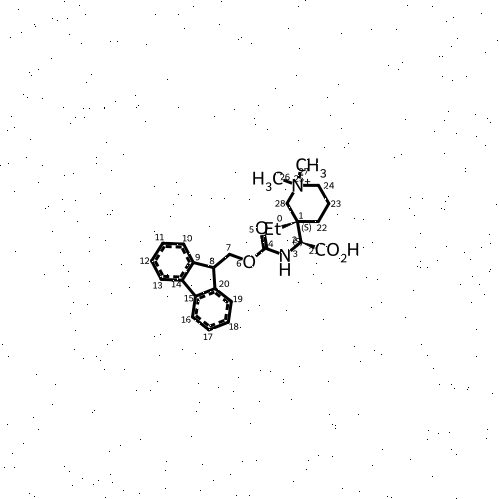 CC[C@]1([C@H](NC(=O)OCC2c3ccccc3-c3ccccc32)C(=O)O)CCC[N+](C)(C)C1